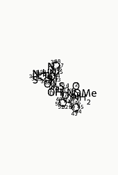 COC(=O)N(Cc1ccc([C@@H](CO)N(Cc2cc3cccnc3[nH]2)S(=O)(=O)c2ccc3ncsc3c2)s1)C(=O)[C@@H](N)C(c1ccccc1)c1ccccc1